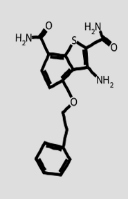 NC(=O)c1sc2c(C(N)=O)ccc(OCCc3ccccc3)c2c1N